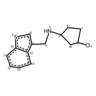 [O]C1CCC(NCc2csc3ccccc23)C1